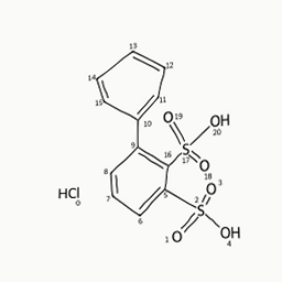 Cl.O=S(=O)(O)c1cccc(-c2ccccc2)c1S(=O)(=O)O